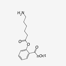 CCCCCCCCC(=O)c1ccccc1OC(=O)CCCCCN